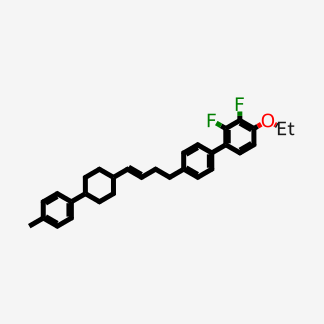 CCOc1ccc(-c2ccc(CC/C=C/C3CCC(c4ccc(C)cc4)CC3)cc2)c(F)c1F